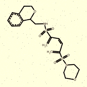 C=C(/C=C\C(=C)S(=O)(=O)N1CCOCC1)S(=O)(=O)NCC1OCCc2ccccc21